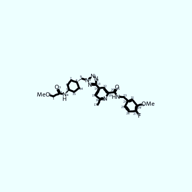 COCC(=O)N[C@H]1CC[C@H](Cn2nnc(-c3cc(C)nc(C(=O)NCc4ccc(F)c(OC)c4)c3)n2)CC1